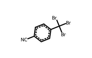 N#Cc1ccc(C(Br)(Br)Br)cc1